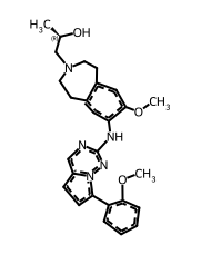 COc1cc2c(cc1Nc1ncc3ccc(-c4ccccc4OC)n3n1)CCN(C[C@@H](C)O)CC2